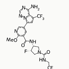 COc1ncc(-c2cc(C(F)(F)F)c3c(N)ncnn23)cc1C(=O)N[C@@H]1CN(C(=O)NCC(F)(F)F)C[C@@H]1F